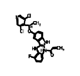 C=CC(=O)Nc1cccc(F)c1Nc1n[nH]c2ccc(O[C@H](C)c3c(Cl)cncc3Cl)cc12